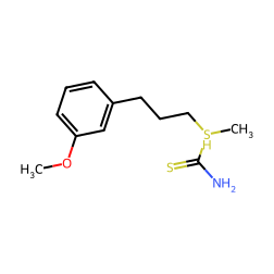 COc1cccc(CCC[SH](C)C(N)=S)c1